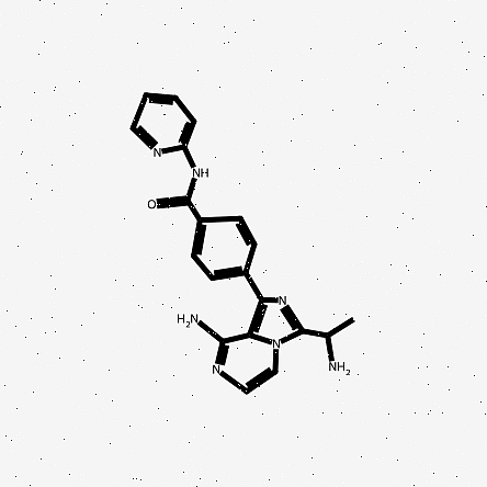 CC(N)c1nc(-c2ccc(C(=O)Nc3ccccn3)cc2)c2c(N)nccn12